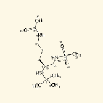 CC(C)(C)N[C@@H](CCCNC(=O)O)CNS(C)(=O)=O